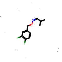 CC(C)/[C]=N\OCc1ccc(F)c(F)c1